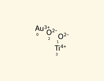 [Au+3].[O-2].[O-2].[Ti+4]